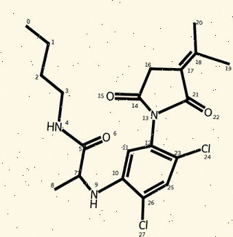 CCCCNC(=O)C(C)Nc1cc(N2C(=O)CC(=C(C)C)C2=O)c(Cl)cc1Cl